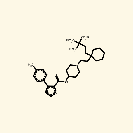 CCOC(=O)C(CCC1(CCN2CCC(NC(=O)c3occc3-c3ccc(C)cc3)CC2)CCCCC1)(C(=O)OCC)C(=O)OCC